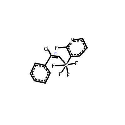 Fc1ncccc1S(F)(F)(F)(F)/C=C(/Cl)c1ccccc1